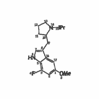 COc1cc(F)c2[nH]cc(CC3CCCN3C(C)C)c2c1